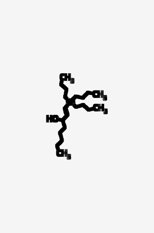 CCCCCC(O)C=[CH][Sn]([CH2]CCC)([CH2]CCC)[CH2]CCC